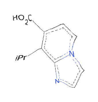 CC(C)c1c(C(=O)O)ccn2ccnc12